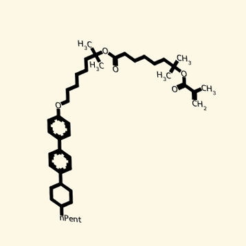 C=C(C)C(=O)OC(C)(C)CCCCCC(=O)OC(C)(C)CCCCCCOc1ccc(-c2ccc(C3CCC(CCCCC)CC3)cc2)cc1